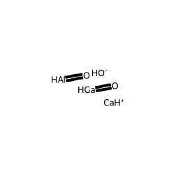 [CaH+].[OH-].[O]=[AlH].[O]=[GaH]